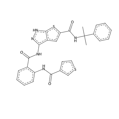 CC(C)(NC(=O)c1cc2c(NC(=O)c3ccccc3NC(=O)c3ccsc3)n[nH]c2s1)c1ccccc1